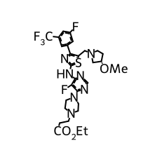 CCOC(=O)CCN1CCN(c2ncnc(Nc3nc(-c4cc(F)cc(C(F)(F)F)c4)c(CN4CC[C@H](OC)C4)s3)c2F)CC1